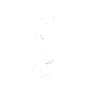 CC1(C)C(NC(=O)O)CC1N1CCC(F)(F)C1